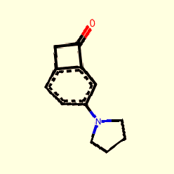 O=C1Cc2ccc(N3CCCC3)cc21